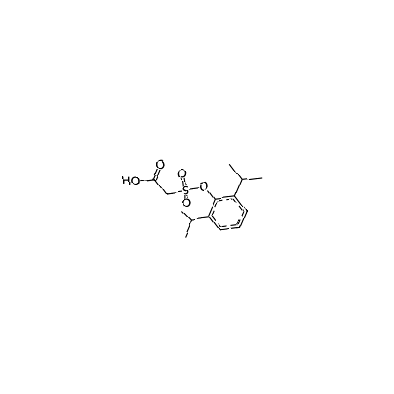 CC(C)c1cccc(C(C)C)c1OS(=O)(=O)CC(=O)O